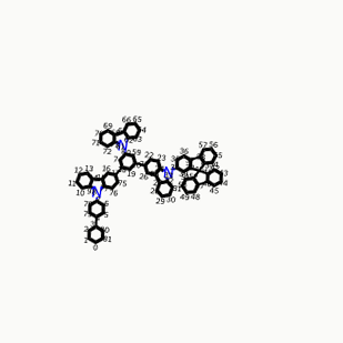 c1ccc(-c2ccc(-n3c4ccccc4c4cc(-c5cc(-c6ccc7c(c6)c6ccccc6n7-c6ccc7c(c6)C6(c8ccccc8-c8ccccc86)c6ccccc6-7)cc(-n6c7ccccc7c7ccccc76)c5)ccc43)cc2)cc1